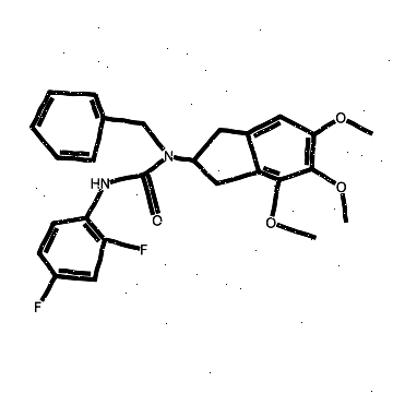 COc1cc2c(c(OC)c1OC)CC(N(Cc1ccccc1)C(=O)Nc1ccc(F)cc1F)C2